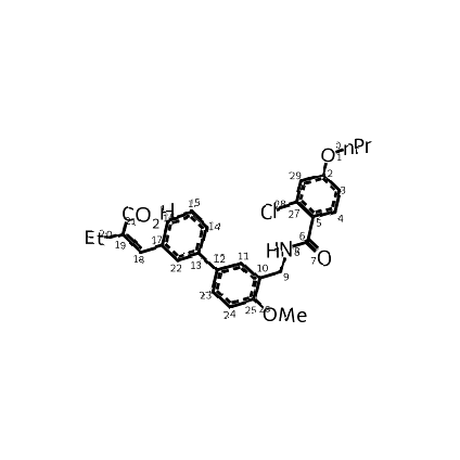 CCCOc1ccc(C(=O)NCc2cc(-c3cccc(C=C(CC)C(=O)O)c3)ccc2OC)c(Cl)c1